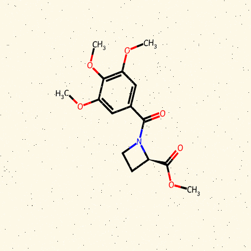 COC(=O)[C@H]1CCN1C(=O)c1cc(OC)c(OC)c(OC)c1